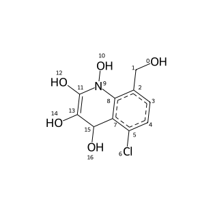 OCc1ccc(Cl)c2c1N(O)C(O)=C(O)C2O